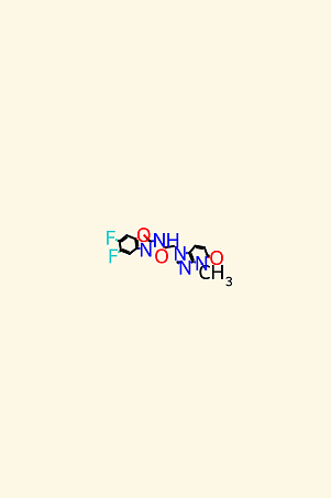 Cn1c(=O)ccc2c1ncn2CC(=O)Nc1nc2cc(F)c(F)cc2o1